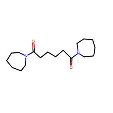 O=C(CCCCC(=O)N1CCCCCC1)N1CCCCCC1